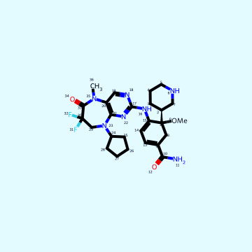 COC1([C@H]2CCCNC2)CC(C(N)=O)=CC=C1Nc1ncc2c(n1)N(C1CCCC1)CC(F)(F)C(=O)N2C